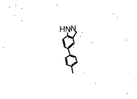 Cc1ccc(-c2ccc3[nH]ncc3c2)cc1